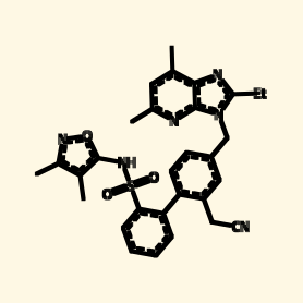 CCc1nc2c(C)cc(C)nc2n1Cc1ccc(-c2ccccc2S(=O)(=O)Nc2onc(C)c2C)c(CC#N)c1